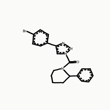 O=C(N1CCCCC1c1ccccc1)n1cc(-c2ccc(Br)cc2)nn1